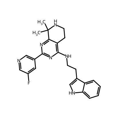 CC1(C)NCCc2c(NCCc3c[nH]c4ccccc34)nc(-c3cncc(F)c3)nc21